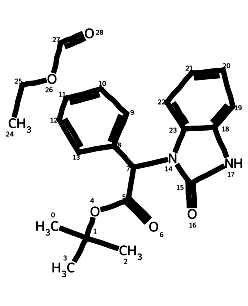 CC(C)(C)OC(=O)C(c1ccccc1)n1c(=O)[nH]c2ccccc21.CCOC=O